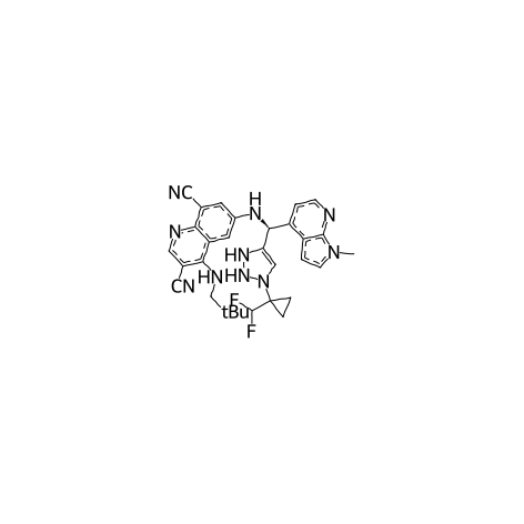 Cn1ccc2c([C@H](Nc3cc(C#N)c4ncc(C#N)c(NCC(C)(C)C)c4c3)C3=CN(C4(C(F)F)CC4)NN3)ccnc21